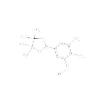 Cc1c(OC(C)C)cc(B2OC(C)(C)C(C)(C)O2)cc1C(F)(F)F